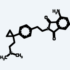 CN(C)CCC1(c2ccc(CCN3C(=O)c4cccc(N)c4C3=O)cc2)CC1